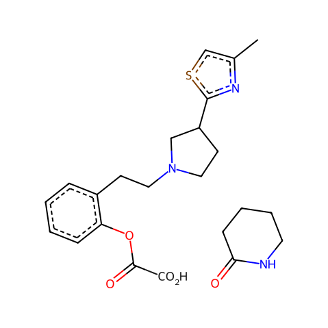 Cc1csc(C2CCN(CCc3ccccc3OC(=O)C(=O)O)C2)n1.O=C1CCCCN1